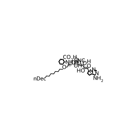 CCCCCCCCCCCCCCCCCCOC[C@H](COP(=O)(O)OC[C@@H](OC#N)[C@@H](O)[C@@H](O)c1ccc2c(N)ncnn12)Nc1ccccc1C(=O)O